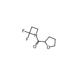 O=C([C]1CCCO1)N1CCC1(F)F